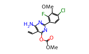 C=Cc1c(N)nc(-c2ccc(Cl)c(OC)c2F)nc1OC(=O)OC